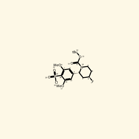 COc1cc([C@H]2C[C@H](F)CCN2C(=O)OC(C)(C)C)cc(OC)c1S(=O)(=O)Cl